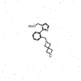 COCn1ccnc1-c1ccccc1CN1CC2(CNC2)C1